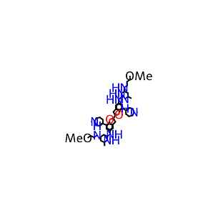 COCCCNC1CC(C)NC(Nc2cc3c(c(C4=CCN(C)CCC4)c2)OC(C2Cc4cc(NC5CC(NCCOC)CC(C)N5)cc(C5=CCN(C)CCC5)c4O2)C3)N1